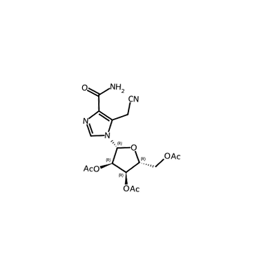 CC(=O)OC[C@H]1O[C@@H](n2cnc(C(N)=O)c2CC#N)[C@H](OC(C)=O)[C@@H]1OC(C)=O